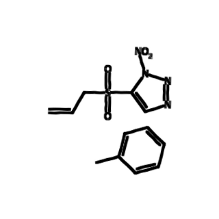 C=CCS(=O)(=O)c1cnnn1[N+](=O)[O-].Cc1ccccc1